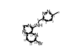 Cc1ccc(CNc2ncnc3ccc(Br)nc23)nn1